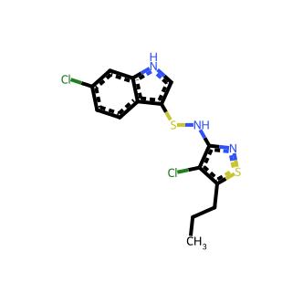 CCCc1snc(NSc2c[nH]c3cc(Cl)ccc23)c1Cl